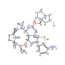 C[C@H]1C[C@@H]2CC[C@H](CN(C)c3nc(OC[C@@]45CCCN4C[C@H](F)C5)nc4c(F)c(-c5cccc(N)c5F)nc(c34)O1)N2